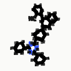 N#Cc1ccccc1-c1cc(-c2ccc(-c3nc(-c4ccccc4)nc(-c4ccccc4)n3)cc2)cc2ccccc12